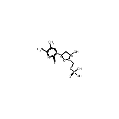 Cc1cn([C@H]2C[C@@H](O)[C@@H](COP(=O)(O)O)O2)c(=O)nc1N